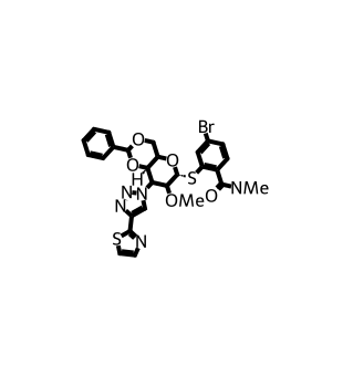 CNC(=O)c1ccc(Br)cc1S[C@H]1OC2COC(c3ccccc3)O[C@@H]2C(n2cc(-c3nccs3)nn2)C1OC